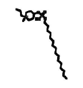 CCCCCCCCCCCCCCCCOP(=O)(O)OC1CC[N+](C)(CCC)CC1